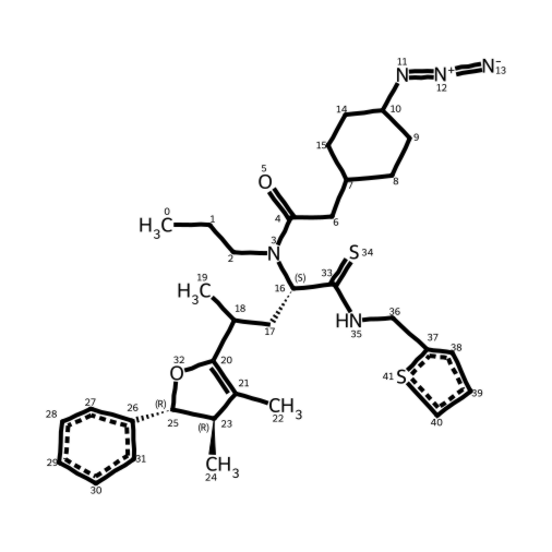 CCCN(C(=O)CC1CCC(N=[N+]=[N-])CC1)[C@@H](CC(C)C1=C(C)[C@@H](C)[C@H](c2ccccc2)O1)C(=S)NCc1cccs1